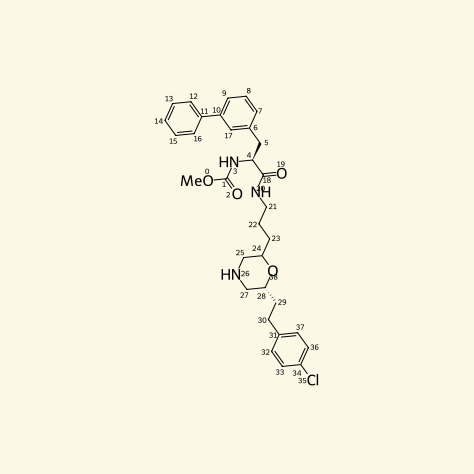 COC(=O)N[C@@H](Cc1cccc(-c2ccccc2)c1)C(=O)NCCCC1CNC[C@@H](CCc2ccc(Cl)cc2)O1